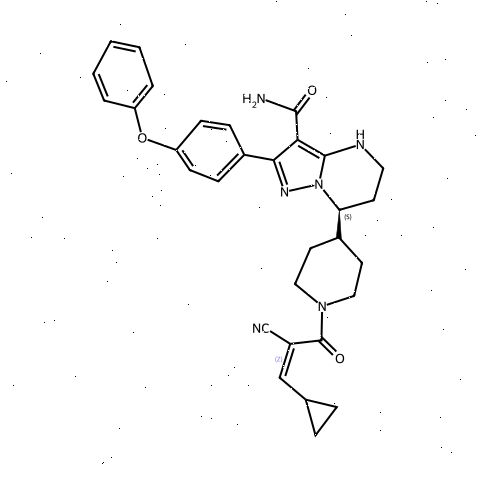 N#C/C(=C/C1CC1)C(=O)N1CCC([C@@H]2CCNc3c(C(N)=O)c(-c4ccc(Oc5ccccc5)cc4)nn32)CC1